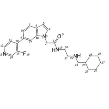 O=C(Cn1ccc2ccc(-c3ccncc3F)cc21)NCCNCC1CCCCC1